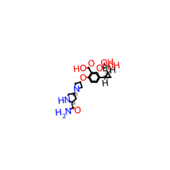 NC(=O)[C@@H]1C[C@@H](N2CC(Oc3ccc4c(c3C(=O)O)O[B-](O)(O)[C@H]3C[C@@H]43)C2)CN1